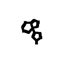 C1=NC=NC2=CN=C[N+]12c1cn[nH]c1